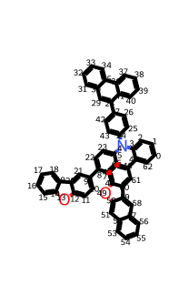 c1ccc(N(c2ccc(-c3ccc4oc5ccccc5c4c3)cc2)c2ccc(-c3cc4ccccc4c4ccccc34)cc2)c(-c2ccc3oc4cc5ccccc5cc4c3c2)c1